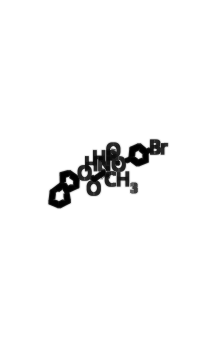 C[C@H](N[PH](=O)Oc1ccc(Br)cc1)C(=O)Oc1ccc2ccccc2c1